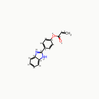 C=CC(=O)Oc1ccc(-c2nc3ccccc3[nH]2)cc1